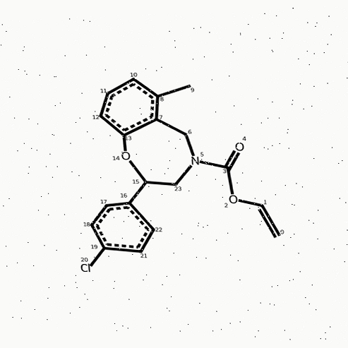 C=COC(=O)N1Cc2c(C)cccc2OC(c2ccc(Cl)cc2)C1